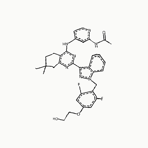 CC(=O)Nc1cc(Nc2nc(-c3nn(Cc4c(F)cc(OCCO)cc4F)c4ccccc34)nc3c2CCC(C)(C)C3)ccn1